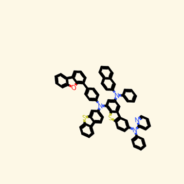 c1ccc(N(c2ccc3ccccc3c2)c2cc(N(c3ccc(-c4cccc5c4oc4ccccc45)cc3)c3ccc4c(c3)sc3ccccc34)c3sc4ccc(N(c5ccccc5)c5ccccn5)cc4c3c2)cc1